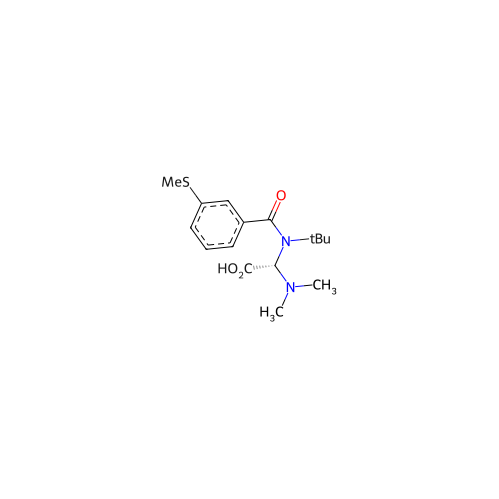 CSc1cccc(C(=O)N([C@@H](C(=O)O)N(C)C)C(C)(C)C)c1